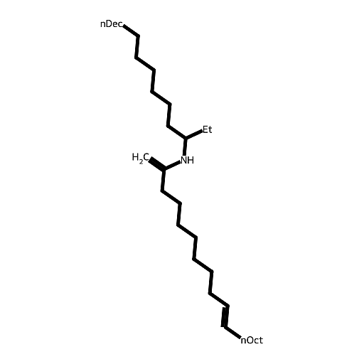 C=C(CCCCCCC/C=C/CCCCCCCC)NC(CC)CCCCCCCCCCCCCCCC